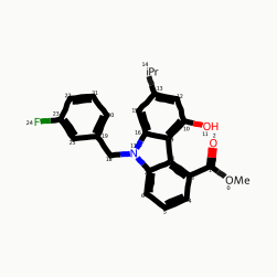 COC(=O)c1cccc2c1c1c(O)cc(C(C)C)cc1n2Cc1cccc(F)c1